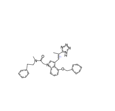 C/C(=C\c1cn(CC(=O)N(C)CCc2ccccc2)c2cccc(OCc3ccccc3)c12)c1nnn[nH]1